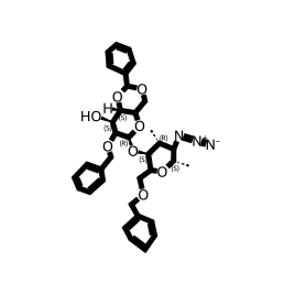 C[C@@H]1OC(COCc2ccccc2)[C@@H](O[C@@H]2OC3COC(c4ccccc4)O[C@H]3[C@H](O)C2OCc2ccccc2)[C@H](C)C1N=[N+]=[N-]